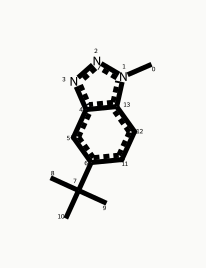 Cn1nnc2cc(C(C)(C)C)ccc21